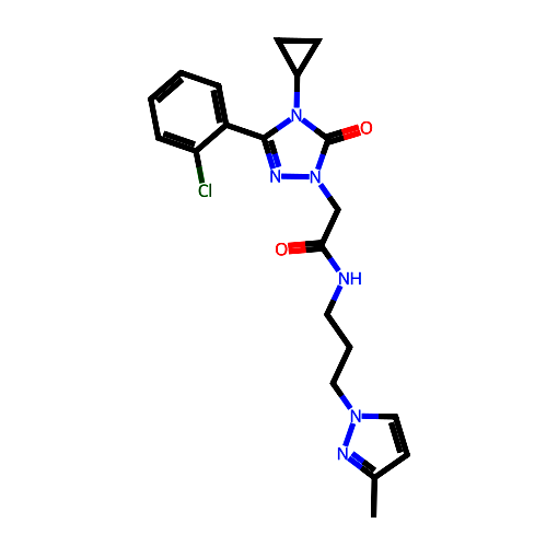 Cc1ccn(CCCNC(=O)Cn2nc(-c3ccccc3Cl)n(C3CC3)c2=O)n1